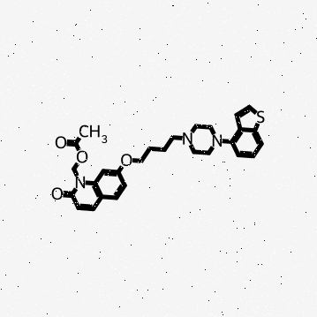 CC(=O)OCn1c(=O)ccc2ccc(OCCCCN3CCN(c4cccc5sccc45)CC3)cc21